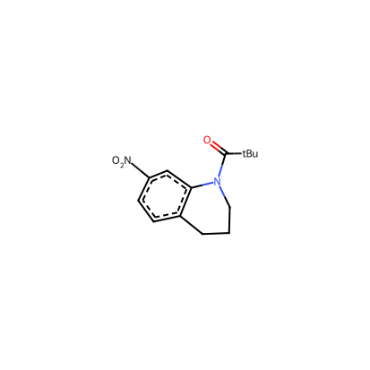 CC(C)(C)C(=O)N1CCCc2ccc([N+](=O)[O-])cc21